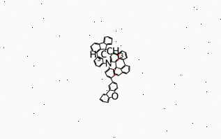 CC1(C)c2ccccc2-c2cccc(-c3cccc(N(c4ccc(-c5ccc6oc7ccccc7c6c5)cc4)c4ccccc4-c4cccc5cccc(-c6ccccc6)c45)c3)c21